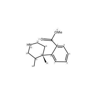 COC(=O)c1ccccc1[C@@]1(C)CCNCC1C